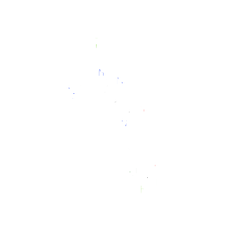 O=C(Nc1ccc(OC(F)(F)Cl)cc1)c1cnc(N2CC[C@@H](F)C2)c(-c2ccns2)c1